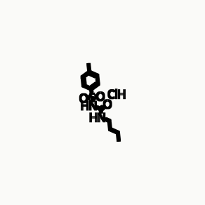 CCCCNC(=O)NS(=O)(=O)c1ccc(C)cc1.Cl